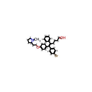 CN1CCCC1CCOC1=CC=C(/C(=C(/CCCCO)c2ccccc2)c2ccc(Br)cc2)CC1